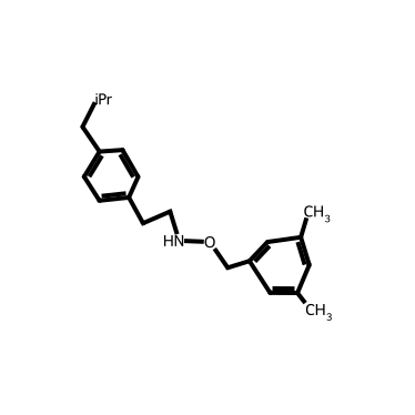 Cc1cc(C)cc(CONCCc2ccc(CC(C)C)cc2)c1